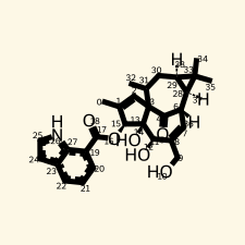 CC1=CC23C(=O)[C@@H](C=C(CO)[C@@H](O)[C@]2(O)[C@H]1OC(=O)c1cccc2cc[nH]c12)[C@H]1[C@@H](CC3C)C1(C)C